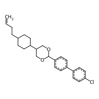 C=CCCC1CCC(C2COC(c3ccc(-c4ccc(Cl)cc4)cc3)OC2)CC1